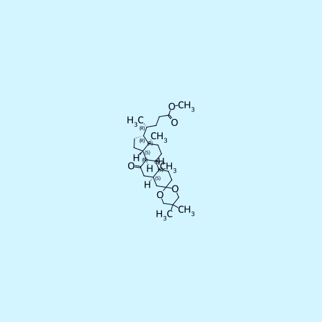 COC(=O)CC[C@@H](C)[C@H]1CC[C@H]2[C@@H]3C(=O)C[C@@H]4CC5(CC[C@]4(C)[C@H]3CC[C@]12C)OCC(C)(C)CO5